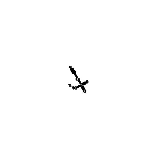 N#[C][Co][S](=O)(=O)O.[Ti]